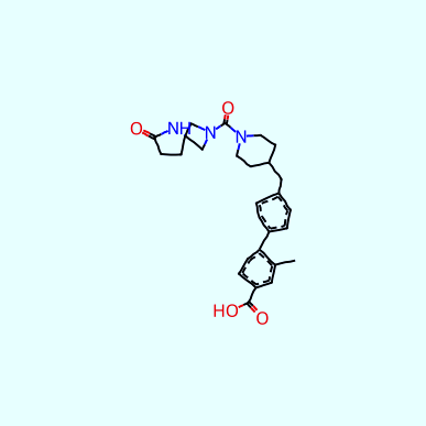 Cc1cc(C(=O)O)ccc1-c1ccc(CC2CCN(C(=O)N3CC4(CCC(=O)N4)C3)CC2)cc1